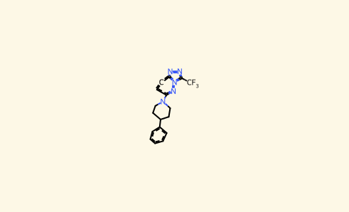 FC(F)(F)c1nnc2ccc(N3CCC(c4ccccc4)CC3)nn12